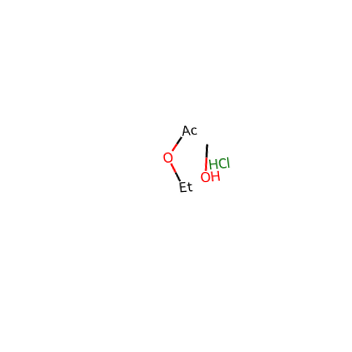 CCOC(C)=O.CO.Cl